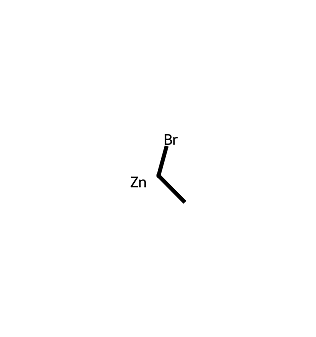 CCBr.[Zn]